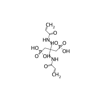 C=CC(=O)NCC(CNC(=O)C=C)(CP(=O)(O)O)CP(=O)(O)O